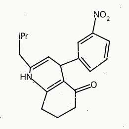 CC(C)CC1=CC(c2cccc([N+](=O)[O-])c2)C2=C(CCCC2=O)N1